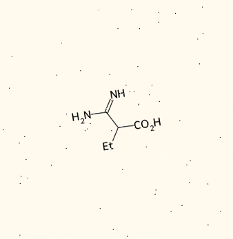 CCC(C(=N)N)C(=O)O